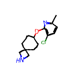 Cc1ccc(Cl)c(OC2CCC3(CC2)CNC3)n1